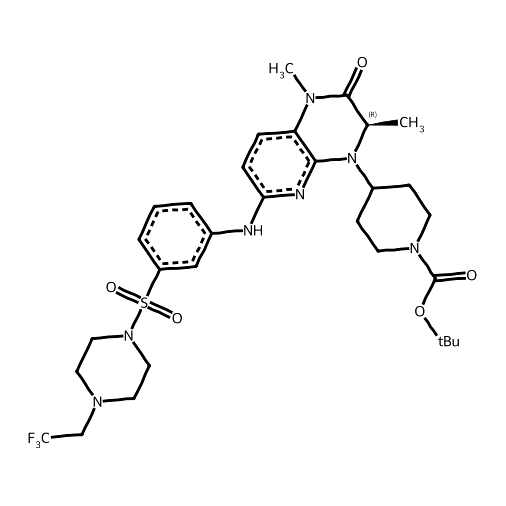 C[C@@H]1C(=O)N(C)c2ccc(Nc3cccc(S(=O)(=O)N4CCN(CC(F)(F)F)CC4)c3)nc2N1C1CCN(C(=O)OC(C)(C)C)CC1